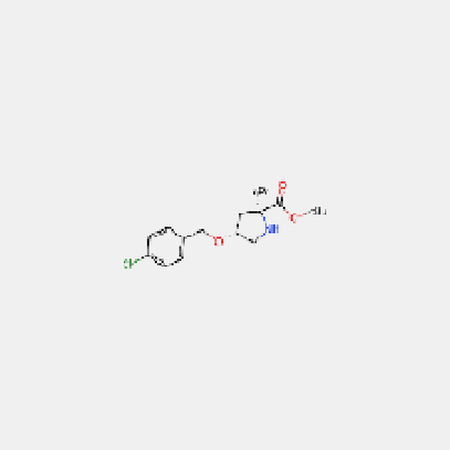 CCC[C@@]1(C(=O)OC(C)(C)C)C[C@@H](OCc2ccc(Cl)cc2)CN1